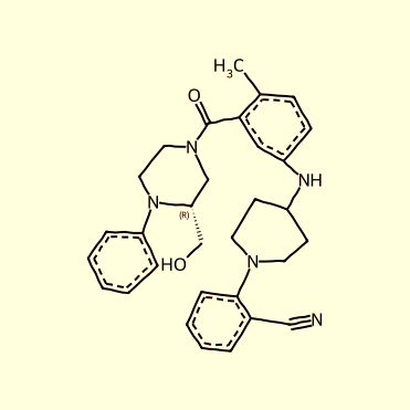 Cc1ccc(NC2CCN(c3ccccc3C#N)CC2)cc1C(=O)N1CCN(c2ccccc2)[C@@H](CO)C1